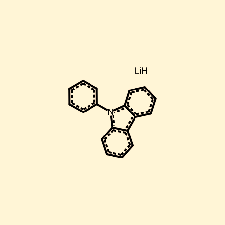 [LiH].c1ccc(-n2c3ccccc3c3ccccc32)cc1